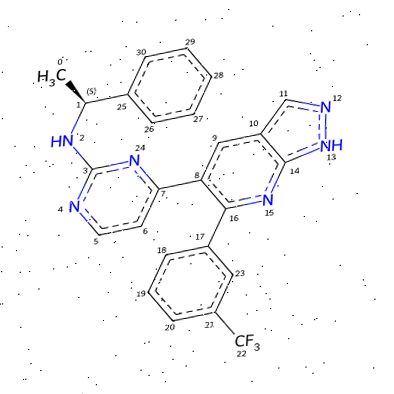 C[C@H](Nc1nccc(-c2cc3cn[nH]c3nc2-c2cccc(C(F)(F)F)c2)n1)c1ccccc1